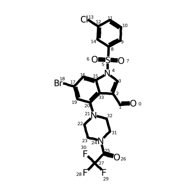 O=Cc1cn(S(=O)(=O)c2cccc(Cl)c2)c2cc(Br)cc(N3CCN(C(=O)C(F)(F)F)CC3)c12